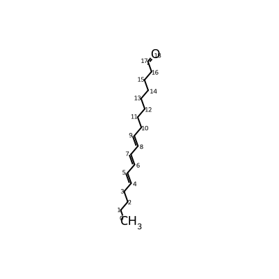 CCCCC=CC=CC=CCCCCCCC[C]=O